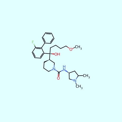 COCCCC[C@@](O)(c1cccc(F)c1-c1ccccc1)[C@@H]1CCCN(C(=O)N[C@H]2CC(C)N(C)C2)C1